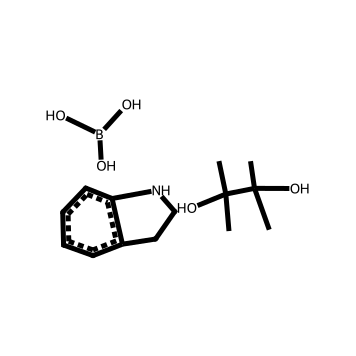 CC(C)(O)C(C)(C)O.OB(O)O.c1ccc2c(c1)CCN2